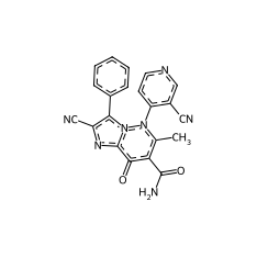 Cc1c(C(N)=O)c(=O)c2nc(C#N)c(-c3ccccc3)n2n1-c1ccncc1C#N